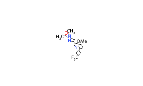 COc1c(-c2ccc(N3CC(C)OC(C)C3)nc2)cnc2c(-c3ccc(C(F)(F)F)cc3)cccc12